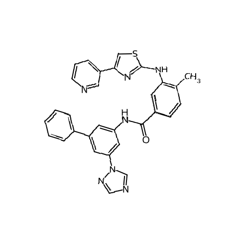 Cc1ccc(C(=O)Nc2cc(-c3ccccc3)cc(-n3cncn3)c2)cc1Nc1nc(-c2cccnc2)cs1